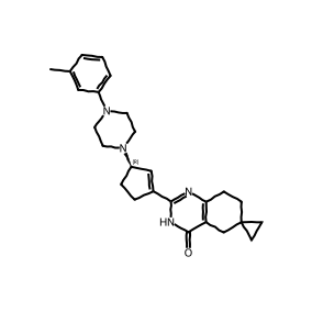 Cc1cccc(N2CCN([C@H]3C=C(c4nc5c(c(=O)[nH]4)CC4(CC5)CC4)CC3)CC2)c1